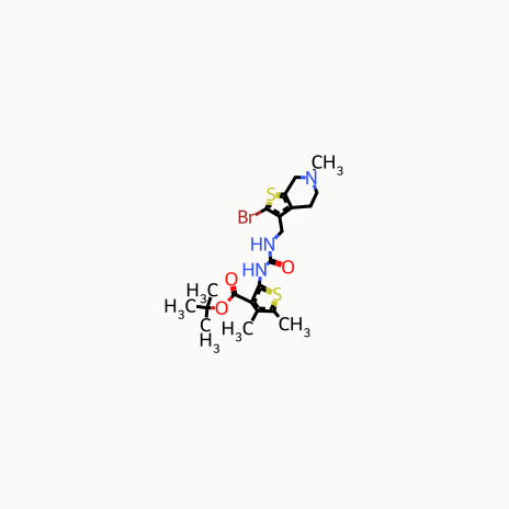 Cc1sc(NC(=O)NCc2c(Br)sc3c2CCN(C)C3)c(C(=O)OC(C)(C)C)c1C